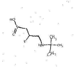 CC(C)(C)NCC(F)CS(=O)O